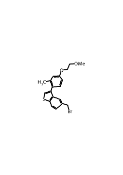 COCCOc1ccc(-c2csc3ccc(CBr)cc23)c(C)c1